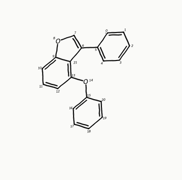 [c]1ccccc1-c1coc2cccc(Oc3ccccc3)c12